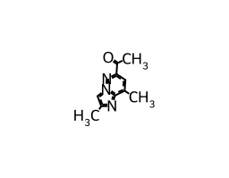 CC(=O)c1cc(C)c2nc(C)cn2n1